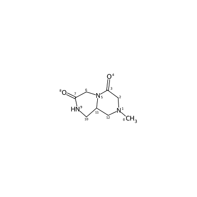 CN1CC(=O)N2CC(=O)NCC2C1